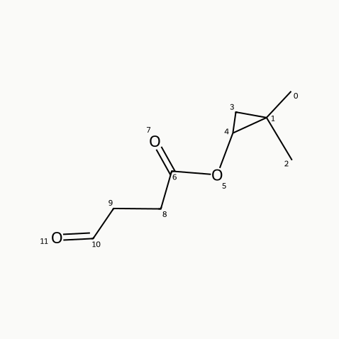 CC1(C)CC1OC(=O)CCC=O